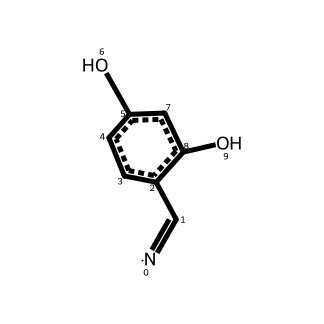 [N]=Cc1ccc(O)cc1O